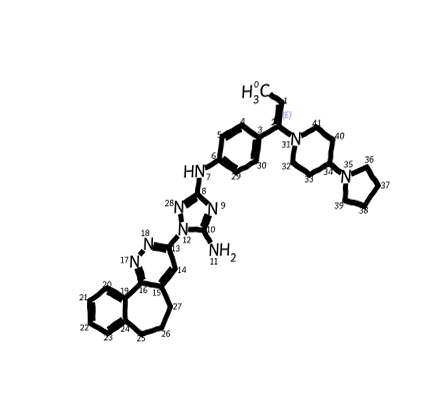 C/C=C(\c1ccc(Nc2nc(N)n(-c3cc4c(nn3)-c3ccccc3CCC4)n2)cc1)N1CCC(N2CCCC2)CC1